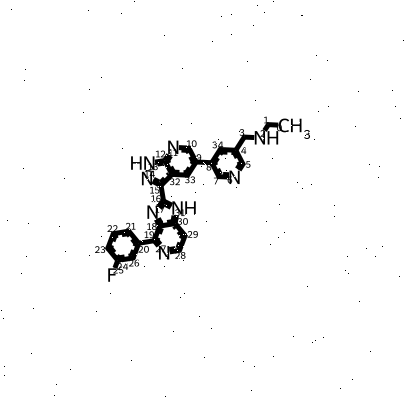 CCNCc1cncc(-c2cnc3[nH]nc(-c4nc5c(-c6cccc(F)c6)nccc5[nH]4)c3c2)c1